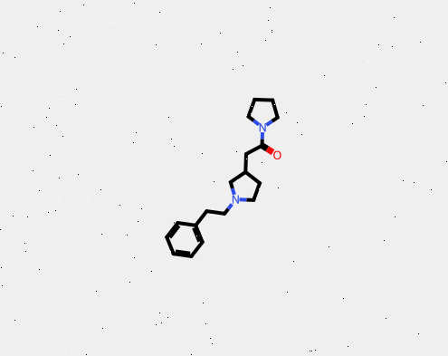 O=C(CC1CCN(CCc2[c]cccc2)C1)N1CCCC1